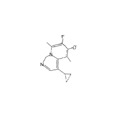 CC1=C(Cl)C(F)=C(C)N2CN=CC(C3CC3)=C12